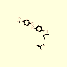 C=C(C)C(=O)OCCC(C)Nc1ccc(N=Nc2ccc([N+](=O)[O-])cc2)cc1